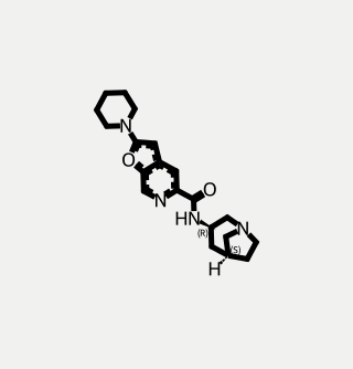 O=C(N[C@@H]1C[C@@H]2CCN(C2)C1)c1cc2cc(N3CCCCC3)oc2cn1